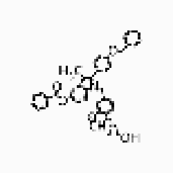 COc1cc(Cn2c(-c3ccc(OCc4ccccc4)cc3)c(C)c3cc(OC(=O)c4ccccc4)ccc32)ccc1OCCO